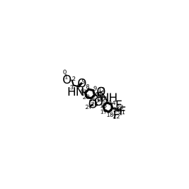 COCCC(=O)Nc1ccc(S(=O)(=O)Nc2cccc(C(F)(F)F)c2)c(OC)c1